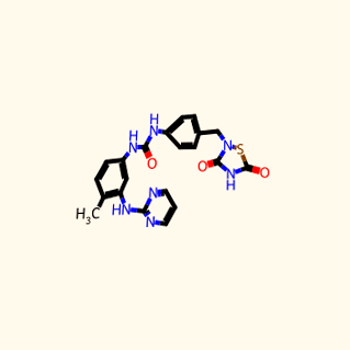 Cc1ccc(NC(=O)Nc2ccc(Cn3sc(=O)[nH]c3=O)cc2)cc1Nc1ncccn1